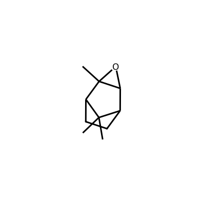 CC1(C)C2CCC1C1(C)OC21